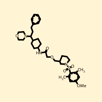 COc1cc(C)c(S(=O)(=O)N2CCCC(COCC(=O)NC3CCC(C(CCc4ccccc4)N4CCOCC4)CC3)C2)c(C)c1